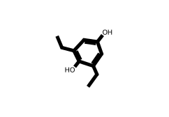 CCc1cc(O)cc(CC)c1O